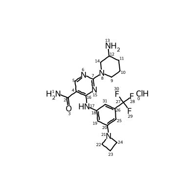 Cl.NC(=O)c1cnc(N2CCCC(N)C2)nc1Nc1cc(N2CCC2)cc(C(F)(F)F)c1